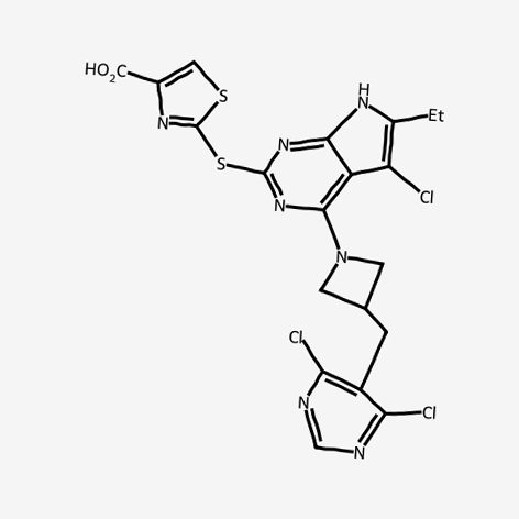 CCc1[nH]c2nc(Sc3nc(C(=O)O)cs3)nc(N3CC(Cc4c(Cl)ncnc4Cl)C3)c2c1Cl